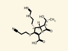 C[C@@H](O)[C@H]1C(=O)N2C(C(=O)O)=C(SCCC#N)[C@H](CCNC=N)[C@H]12